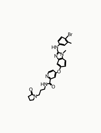 Cc1cc(Nc2nc3cc(Oc4ccnc(C(=O)NCCCN5CCCC5=O)c4)ccc3n2C)ccc1Br